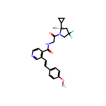 N#C[C@]1(C2CC2)CC(F)(F)CN1C(=O)CNC(=O)c1ccncc1/C=C/c1ccc(OC(F)(F)F)cc1